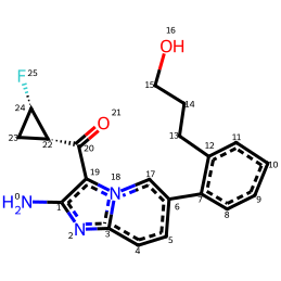 Nc1nc2ccc(-c3ccccc3CCCO)cn2c1C(=O)[C@@H]1C[C@@H]1F